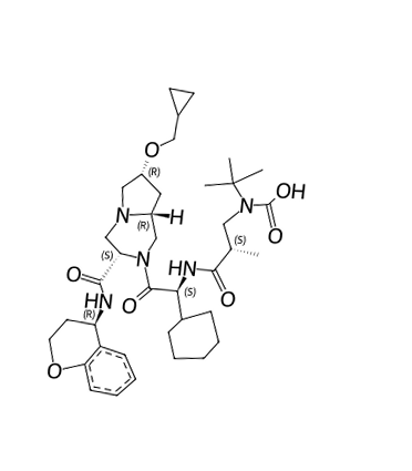 C[C@@H](CN(C(=O)O)C(C)(C)C)C(=O)N[C@H](C(=O)N1C[C@H]2C[C@@H](OCC3CC3)CN2C[C@H]1C(=O)N[C@@H]1CCOc2ccccc21)C1CCCCC1